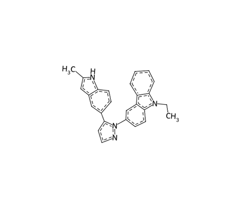 CCn1c2ccccc2c2cc(-n3nccc3-c3ccc4[nH]c(C)cc4c3)ccc21